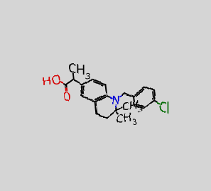 CC(C(=O)O)c1ccc2c(c1)CCC(C)(C)N2Cc1ccc(Cl)cc1